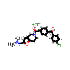 CN(C)Cc1cc2c(o1)CCN(C(=O)c1ccc(C(=O)c3ccc(Cl)cc3)cc1)C2.Cl